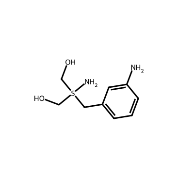 Nc1cccc(CS(N)(CO)CO)c1